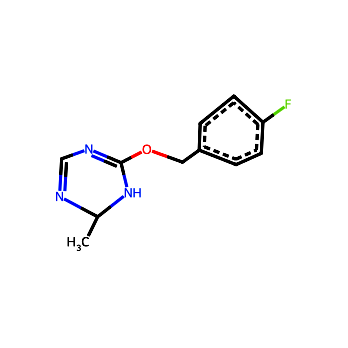 CC1N=CN=C(OCc2ccc(F)cc2)N1